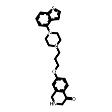 O=C1CNCc2cc(OCCCN3CCN(c4cccc5sccc45)CC3)ccc21